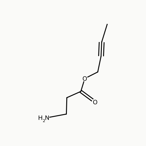 CC#CCOC(=O)CCN